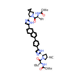 [C-]#[N+][C@H]1C[C@@H](c2ncc(-c3ccc(-c4ccc5cc(-c6cnc([C@@H]7CC8(CC8)CN7C(=O)[C@@H](NC(=O)OC)C(C)C)[nH]6)ccc5c4)cc3)[nH]2)N(C(=O)[C@@H](NC(=O)OC)C(C)(C)C)C1